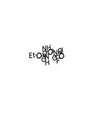 CCc1ccc(S(=O)(=O)Nc2cc(NC(=O)c3c(F)cccc3Cl)ccc2CN)cc1